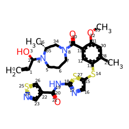 C=CC(O)N1CCCN(C(=O)c2cc(Sc3cnc(NC(=O)c4cnsc4)s3)c(C)cc2OC)C[C@H]1C